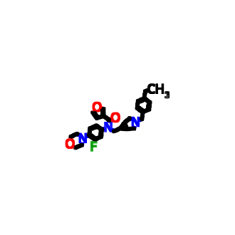 CCc1ccc(CN2CC3C(C2)C3CN(C(=O)c2ccoc2)c2ccc(N3CCOCC3)c(F)c2)cc1